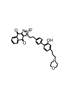 O=C1c2ccccc2C(=O)c2c1n[n+]([O-])n2CCc1ccc(-c2ccc(CCCN3CCOCC3)cc2O)cc1